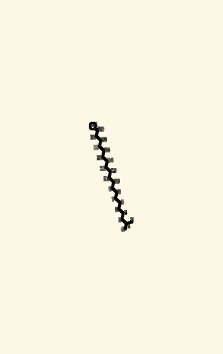 CC(C)CCCCCCCCCCCCCCCCCC=O